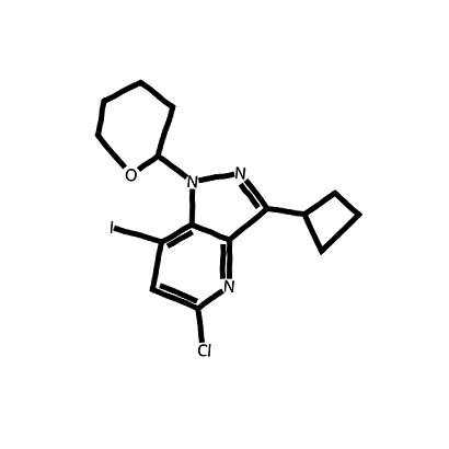 Clc1cc(I)c2c(n1)c(C1CCC1)nn2C1CCCCO1